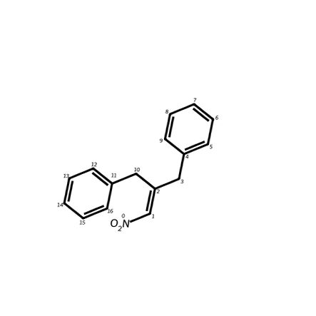 O=[N+]([O-])C=C(Cc1ccccc1)Cc1ccccc1